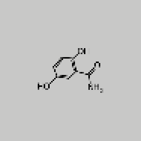 NC(=O)c1cc(O)ccc1O